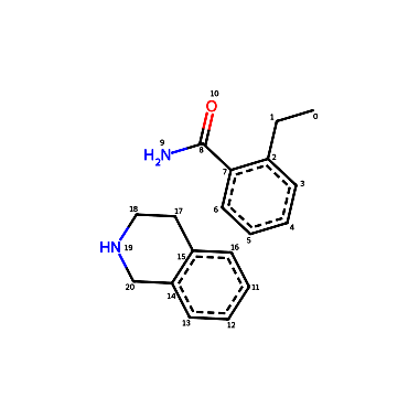 CCc1ccccc1C(N)=O.c1ccc2c(c1)CCNC2